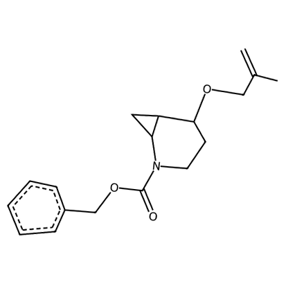 C=C(C)COC1CCN(C(=O)OCc2ccccc2)C2CC12